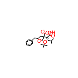 CC(C)C[C@@H](C(=O)O)C(CCCc1ccccc1)(C(=O)O)C(=O)OC(C)(C)C